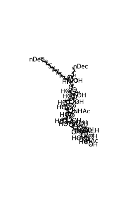 CCCCCCCCCCCCC/C=C/[C@@H](O)[C@H](CO[C@@H]1OC(CO)[C@@H](O[C@@H]2OC(CO)[C@H](O)[C@H](O[C@@H]3OC(CO)[C@@H](O)[C@H](O[C@@H]4OC(CO)[C@H](O)[C@H](O[C@]5(C(=O)O)CC(O)[C@@H](NC(C)=O)C([C@H](O)[C@@H](CO)O[C@]6(C(=O)O)CC(O)[C@@H](NC(C)=O)C([C@H](O)[C@H](O)CO)O6)O5)C4O)C3NC(C)=O)C2O)[C@H](O)C1O)NC(=O)CCCCCCCCCCCCCCCCCCCCCCC